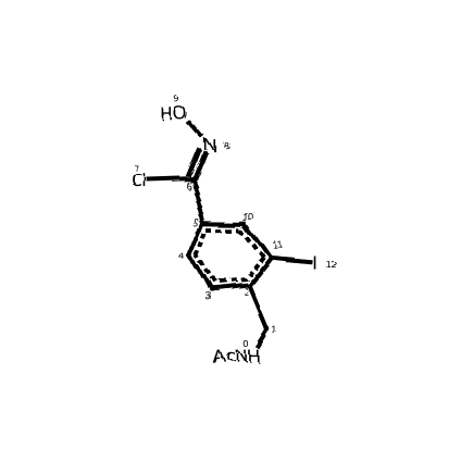 CC(=O)NCc1ccc(C(Cl)=NO)cc1I